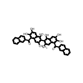 Cc1cc2c(C(=O)c3ccc4ccccc4c3)c(O)c(O)cc2c(O)c1-c1c(C)cc2c(C(=O)c3ccc4ccccc4c3)c(O)c(O)cc2c1O